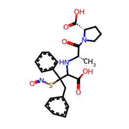 C[C@H](NC(C(=O)O)C(Cc1ccccc1)(SN=O)c1ccccc1)C(=O)N1CCC[C@H]1C(=O)O